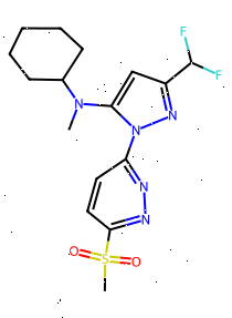 CN(c1cc(C(F)F)nn1-c1ccc(S(C)(=O)=O)nn1)C1CCCCC1